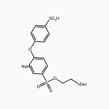 CCCCCCCCCCCCOS(=O)(=O)c1ccc(Oc2ccc(S(=O)(=O)O)cc2)cc1.[NaH]